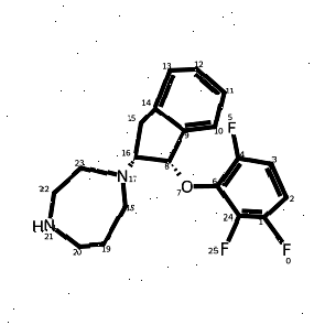 Fc1ccc(F)c(O[C@H]2c3ccccc3C[C@H]2N2CCCNCC2)c1F